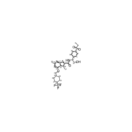 CCS(=O)(=O)c1ccc(C(CO)NC(=O)c2sc3nc(C)nc(OCC4CCC(C(F)(F)F)CC4)c3c2C)cc1